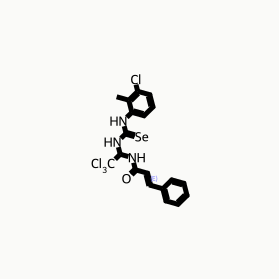 Cc1c(Cl)cccc1NC(=[Se])NC(NC(=O)/C=C/c1ccccc1)C(Cl)(Cl)Cl